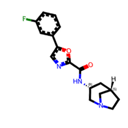 O=C(N[C@@H]1C[C@@H]2CCN(C2)C1)c1ncc(-c2cccc(F)c2)o1